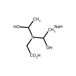 CC(O)N(CC(=O)O)C(C)O.[NaH]